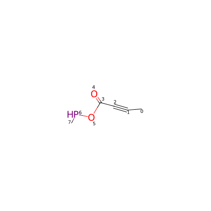 CC#CC(=O)OPC